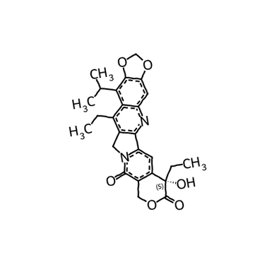 CCc1c2c(nc3cc4c(c(C(C)C)c13)OCO4)-c1cc3c(c(=O)n1C2)COC(=O)[C@]3(O)CC